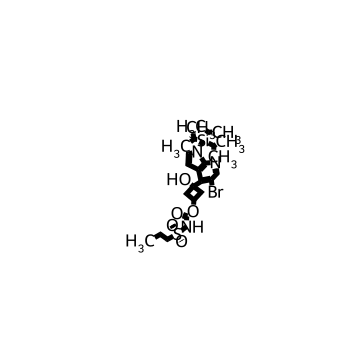 CCCS(=O)(=O)NC(=O)OC1CC(O)(c2c(Br)cnc3c2ccn3[Si](C(C)C)(C(C)C)C(C)C)C1